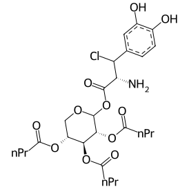 CCCC(=O)O[C@H]1[C@H](OC(=O)CCC)COC(OC(=O)[C@@H](N)C(Cl)c2ccc(O)c(O)c2)[C@@H]1OC(=O)CCC